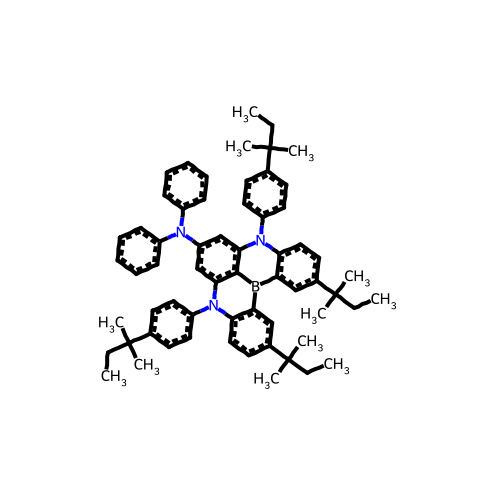 CCC(C)(C)c1ccc(N2c3ccc(C(C)(C)CC)cc3B3c4cc(C(C)(C)CC)ccc4N(c4ccc(C(C)(C)CC)cc4)c4cc(N(c5ccccc5)c5ccccc5)cc2c43)cc1